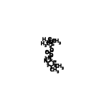 Cc1cc2ncn(OC(=O)OCC[Si](C)(C)C)c2cc1C